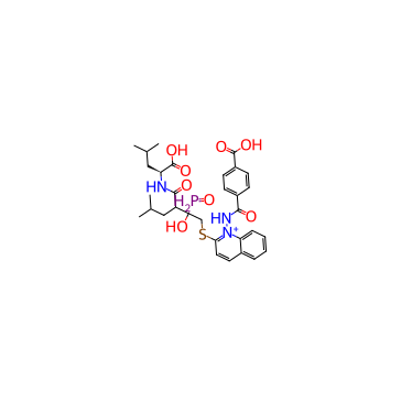 CC(C)CC(C(=O)N[C@@H](CC(C)C)C(=O)O)C(O)(CSc1ccc2ccccc2[n+]1NC(=O)c1ccc(C(=O)O)cc1)[PH2]=O